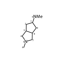 CNC1CC2CN(C)CC2C1